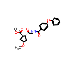 COC(=O)[C@@H]1C[C@@H](OC)C[C@H]1C(=O)CNC(=O)c1ccc(Oc2ccccc2)cc1